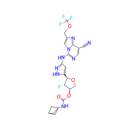 N#Cc1cnc(Nc2cc([C@H]3OC[C@@H](OC(=O)NC45CC(C4)C5)[C@@H]3F)[nH]n2)n2cc(COC(F)(F)F)nc12